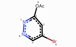 CC(=O)Oc1cc(Br)cnn1